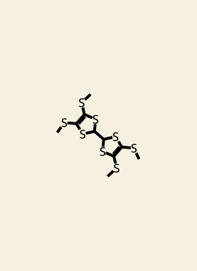 CSC1=C(SC)SC(C2SC(SC)=C(SC)S2)S1